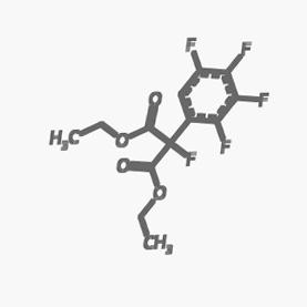 CCOC(=O)C(F)(C(=O)OCC)c1cc(F)c(F)c(F)c1F